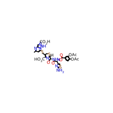 CC(=O)Oc1ccc(C(=O)ON=C(C(=O)N[C@@H]2C(=O)N3C(C(=O)O)=C(CSC4=CC(C)=NC5=CN(C(=O)O)NN54)CS[C@H]23)c2csc(N)n2)cc1OC(C)=O